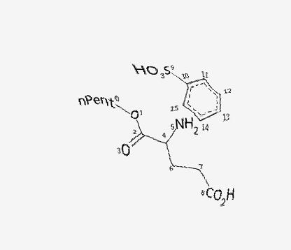 CCCCCOC(=O)C(N)CCC(=O)O.O=S(=O)(O)c1ccccc1